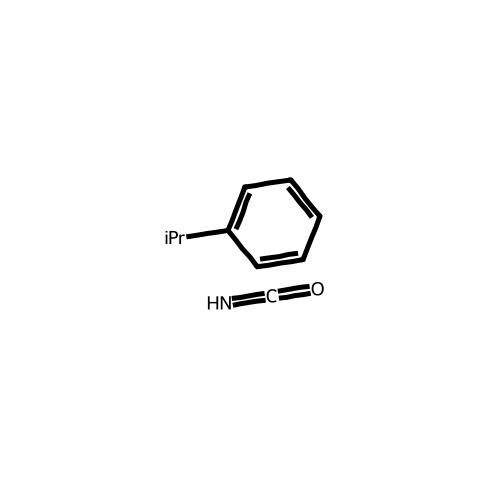 CC(C)c1ccccc1.N=C=O